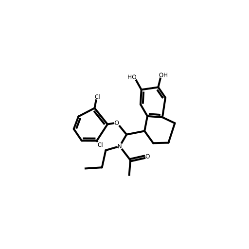 CCCN(C(C)=O)C(Oc1c(Cl)cccc1Cl)C1CCCc2cc(O)c(O)cc21